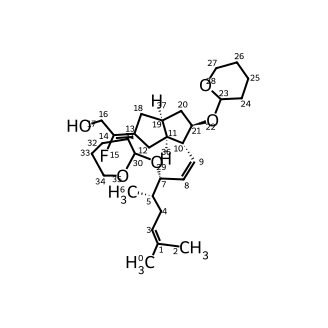 CC(C)=CC[C@H](C)[C@@H](/C=C\[C@@H]1[C@H]2CC(=C(F)CO)C[C@H]2C[C@H]1OC1CCCCO1)OC1CCCCO1